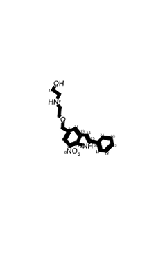 O=[N+]([O-])c1cc(COCCNCCO)cc2cc(-c3ccccc3)[nH]c12